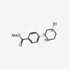 CC[C@@H]1CCN[C@H](c2ccc(C(=O)OC)cc2)C1